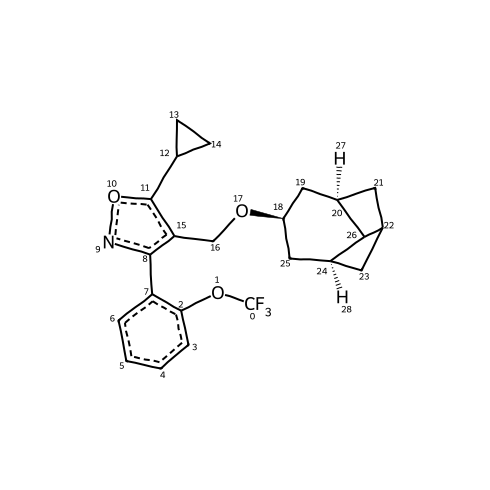 FC(F)(F)Oc1ccccc1-c1noc(C2CC2)c1CO[C@H]1C[C@H]2CC3C[C@@H](C1)C32